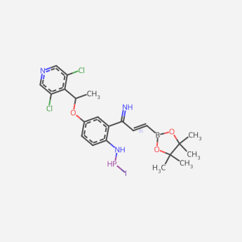 CC(Oc1ccc(NPI)c(C(=N)/C=C/B2OC(C)(C)C(C)(C)O2)c1)c1c(Cl)cncc1Cl